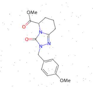 COC(=O)C1CCCc2nn(Cc3ccc(OC)cc3)c(=O)n21